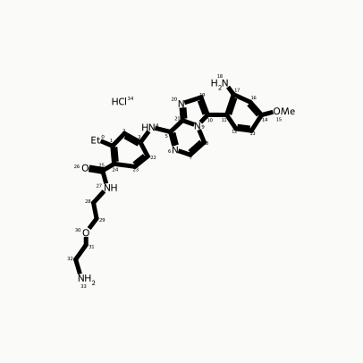 CCc1cc(Nc2nccn3c(-c4ccc(OC)cc4N)cnc23)ccc1C(=O)NCCOCCN.Cl